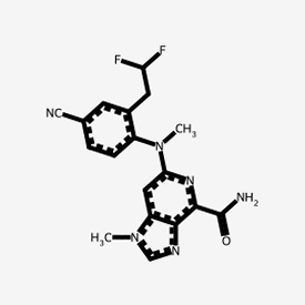 CN(c1cc2c(ncn2C)c(C(N)=O)n1)c1ccc(C#N)cc1CC(F)F